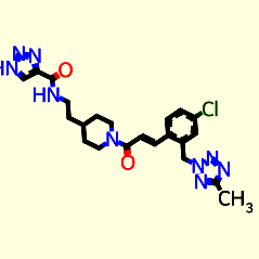 Cc1nnn(Cc2cc(Cl)ccc2/C=C/C(=O)N2CCC(CCNC(=O)c3c[nH]nn3)CC2)n1